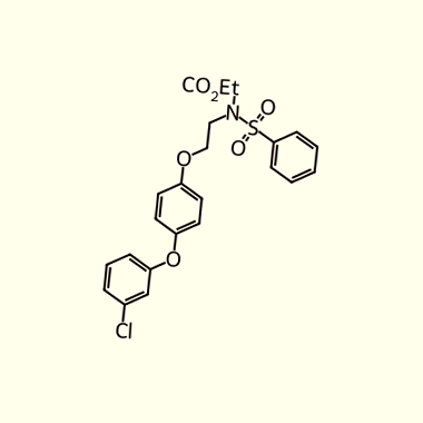 CCOC(=O)N(CCOc1ccc(Oc2cccc(Cl)c2)cc1)S(=O)(=O)c1ccccc1